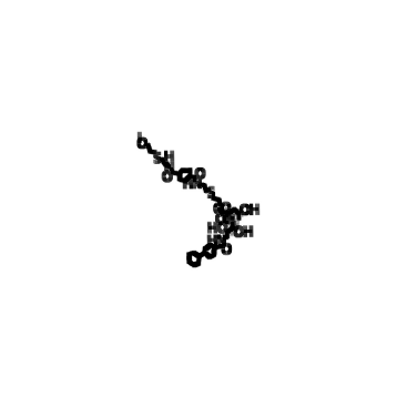 O=C(NCCSCCCOI)c1ccc(C(=O)NCCSCCCO[C@]2(C(=O)O)C[C@H](O)C[C@H]([C@H](O)[C@H](O)CNC(=O)c3ccc(-c4ccccc4)cc3)O2)cc1